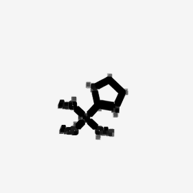 CC(=O)O[Si](OC(C)=O)(OC(C)=O)C1=NCCS1